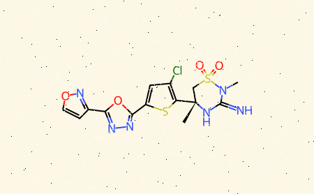 CN1C(=N)N[C@](C)(c2sc(-c3nnc(-c4ccon4)o3)cc2Cl)CS1(=O)=O